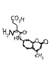 Cc1cc(=O)oc2cc(NC(=O)[C@@H](N)CCC(=O)O)ccc12